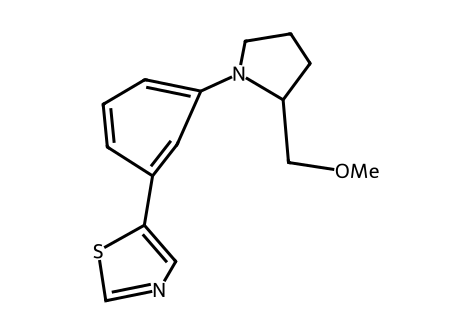 COCC1CCCN1c1cccc(-c2cncs2)c1